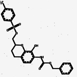 Cc1ccc(S(=O)(=O)OCC2CCc3ccc(NC(=O)OCc4ccccc4)c(O)c3O2)cc1